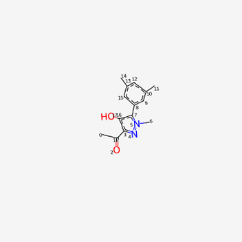 CC(=O)c1nn(C)c(-c2cc(C)cc(C)c2)c1O